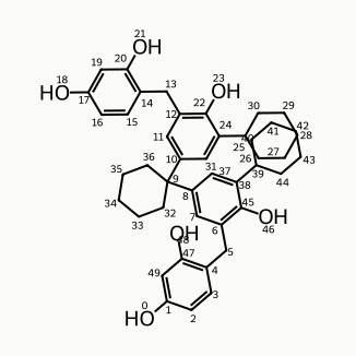 Oc1ccc(Cc2cc(C3(c4cc(Cc5ccc(O)cc5O)c(O)c(C5CCCCC5)c4)CCCCC3)cc(C3CCCCC3)c2O)c(O)c1